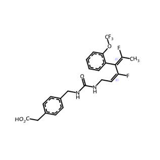 C/C(F)=C(\C(F)=C/CNC(=O)NCc1ccc(CC(=O)O)cc1)c1ccccc1OC(F)(F)F